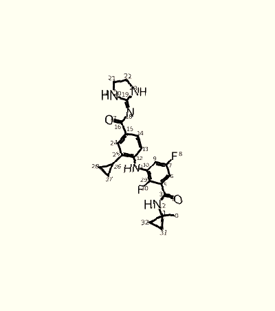 CC1(NC(=O)c2cc(F)cc(Nc3ccc(C(=O)N=C4NCCN4)cc3C3CC3)c2F)CC1